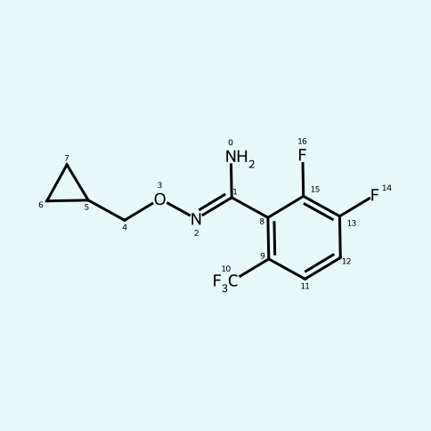 NC(=NOCC1CC1)c1c(C(F)(F)F)ccc(F)c1F